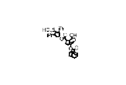 CC(C)c1cc(OC(=O)C2C3CC4C(OC(O)C42)C3OC(=O)C23CC4CC(C2)C(=O)C(C4)C3)cc(C(C)C)c1S(=O)(=O)O